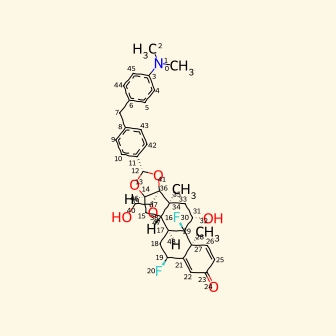 CN(C)c1ccc(Cc2ccc([C@H]3O[C@@H]4C[C@H]5[C@@H]6C[C@H](F)C7=CC(=O)C=C[C@]7(C)[C@@]6(F)[C@@H](O)C[C@]5(C)[C@]4(C(=O)CO)O3)cc2)cc1